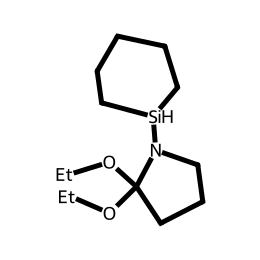 CCOC1(OCC)CCCN1[SiH]1CCCCC1